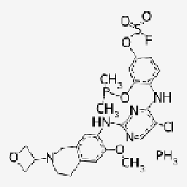 COc1cc2c(cc1Nc1ncc(Cl)c(Nc3ccc(OS(=O)(=O)F)cc3OP(C)C)n1)CN(C1COC1)CC2.P